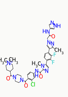 Cc1nn(CC(=O)Nc2cn[nH]c2)cc1-c1ccc(-c2cnc(C(=O)Nc3ccc(C(=O)N4CCN(C(=O)C5CC[N+](C)(C)CC5)CC4)c(Cl)c3)n2C)c(F)c1F